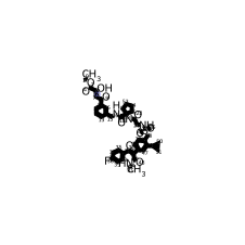 CCOC(=O)/C(O)=C/C(=O)c1cccc(CNC(=O)C2(NC(=O)CNS(=O)(=O)Cc3cc4oc(-c5ccc(F)cc5)c(C(=O)NC)c4cc3C3CC3)CCCC2)c1